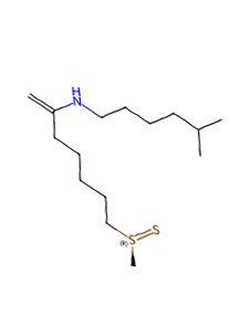 C=C(CCCCC[S@](C)=S)NCCCCC(C)C